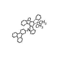 CC1(C)c2ccccc2-c2c1c1c3ccccc3n(-c3ccc4c5ccccc5c5ccccc5c4c3)c1c1c2oc2ccccc21